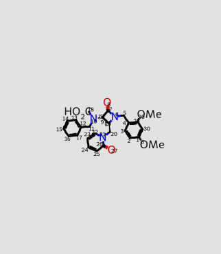 COc1ccc(CN2C(=O)[C@@H](N(Cc3ccccc3)C(=O)O)[C@@H]2Cn2ccccc2=O)c(OC)c1